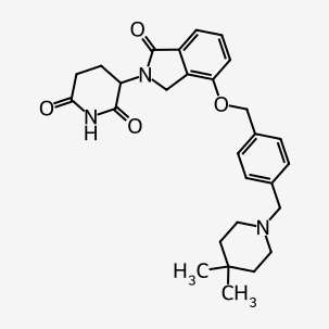 CC1(C)CCN(Cc2ccc(COc3cccc4c3CN(C3CCC(=O)NC3=O)C4=O)cc2)CC1